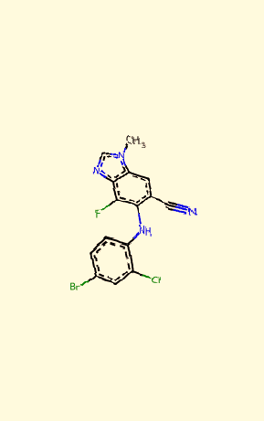 Cn1cnc2c(F)c(Nc3ccc(Br)cc3Cl)c(C#N)cc21